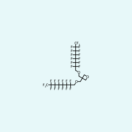 FC(F)(F)C(F)(F)C(F)(F)C(F)(F)C(F)(F)C(F)(F)C(F)(F)COCC1(COCC(F)(F)C(F)(F)C(F)(F)C(F)(F)C(F)(F)C(F)(F)C(F)(F)F)COC1